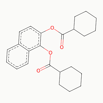 O=C(Oc1ccc2ccccc2c1OC(=O)C1CCCCC1)C1CCCCC1